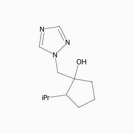 CC(C)C1CCCC1(O)Cn1cncn1